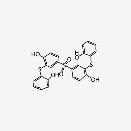 O=S(=O)(c1ccc(O)c(Sc2ccccc2O)c1)c1ccc(O)c(Sc2ccccc2O)c1